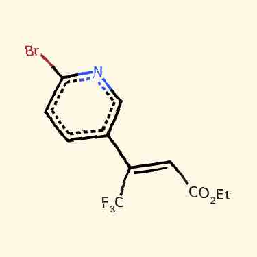 CCOC(=O)C=C(c1ccc(Br)nc1)C(F)(F)F